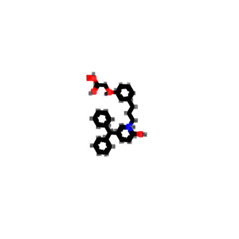 O=C(O)COc1cccc(CCCn2cc(C(c3ccccc3)c3ccccc3)ccc2=O)c1